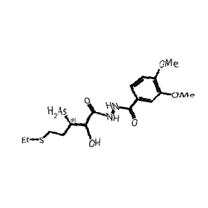 CCSCC[C@@H]([AsH2])C(O)C(=O)NNC(=O)c1ccc(OC)c(OC)c1